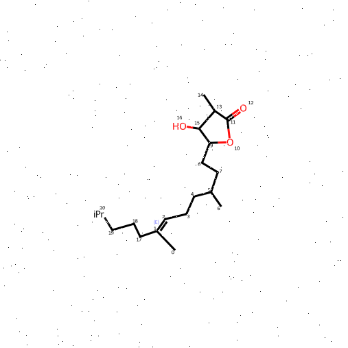 C/C(=C\CCC(C)CCC1OC(=O)C(C)C1O)CCCC(C)C